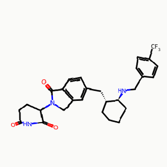 O=C1CCC(N2Cc3cc(C[C@H]4CCCC[C@@H]4NCc4ccc(C(F)(F)F)cc4)ccc3C2=O)C(=O)N1